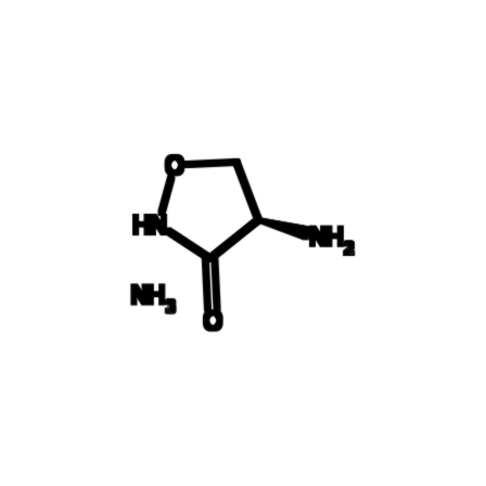 N.N[C@@H]1CONC1=O